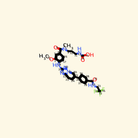 COc1cc(C(=O)N(C)CCCNC(=O)O)ccc1Nc1nc2ccc(-c3ccc(C(=O)NCC(F)(F)F)cc3)cn2n1